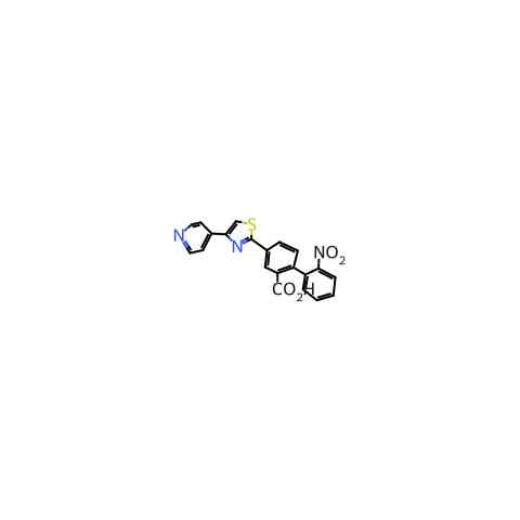 O=C(O)c1cc(-c2nc(-c3ccncc3)cs2)ccc1-c1ccccc1[N+](=O)[O-]